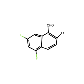 CCc1ccc2c(F)cc(F)cc2c1C=O